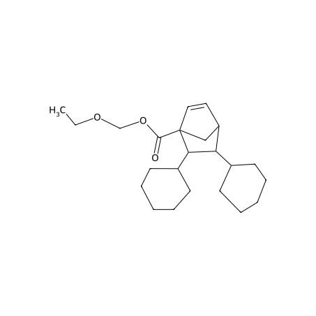 CCOCOC(=O)C12C=CC(C1)C(C1CCCCC1)C2C1CCCCC1